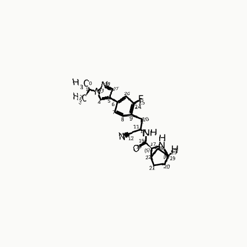 CC(C)n1cc(-c2ccc(CC(C#N)NC(=O)[C@H]3N[C@@H]4CCC3C4)c(F)c2)cn1